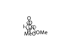 COC(OC)C1CCC2N1[C@@H]1C=C(I)C3=CC(=O)O[C@@]32C1